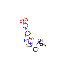 CN(C)Cc1ccccc1-c1csc(NC(=O)c2ccc(N3CCN(S(C)(=O)=O)CC3)cn2)n1